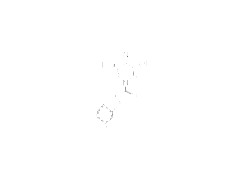 N[C@@H]1[C@H](O)CN(C(=O)OCc2ccccc2)C[C@@H]1O